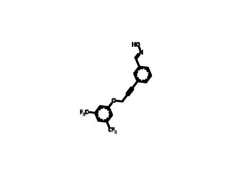 ON=Cc1cccc(C#CCOc2cc(C(F)(F)F)cc(C(F)(F)F)c2)c1